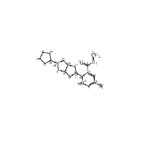 COC(=O)C1=CC(Br)=CNC1N1CC2CN(C3CCCC3)CC2C1